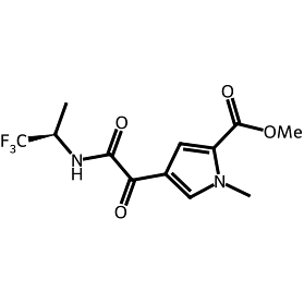 COC(=O)c1cc(C(=O)C(=O)N[C@H](C)C(F)(F)F)cn1C